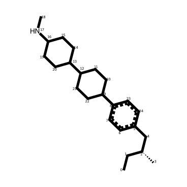 CC[C@@H](C)Cc1ccc(C2CCC(C3CCC(NC)CC3)CC2)cc1